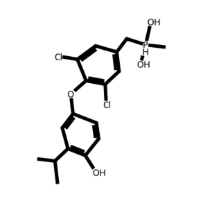 CC(C)c1cc(Oc2c(Cl)cc(C[PH](C)(O)O)cc2Cl)ccc1O